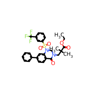 CCOC(=O)C(C)(C)CN1CN(S(=O)(=O)c2cccc(C(F)(F)F)c2)c2cc(-c3ccccc3)ccc2C1=O